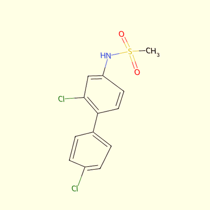 CS(=O)(=O)Nc1ccc(-c2ccc(Cl)cc2)c(Cl)c1